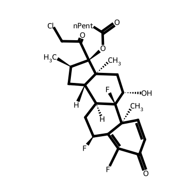 CCCCCC(=O)O[C@]1(C(=O)CCl)[C@H](C)C[C@H]2[C@@H]3C[C@H](F)C4=C(F)C(=O)C=C[C@]4(C)[C@@]3(F)[C@@H](O)C[C@@]21C